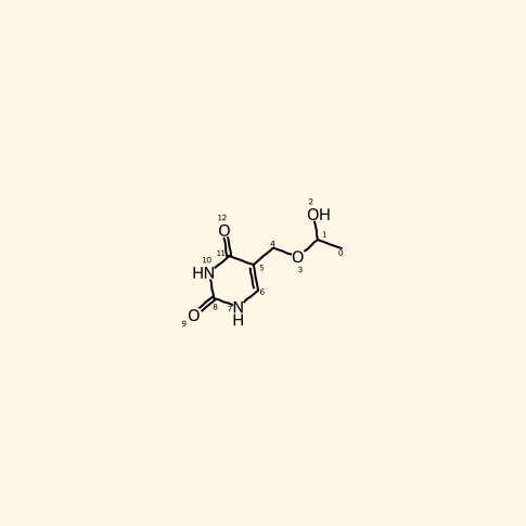 CC(O)OCc1c[nH]c(=O)[nH]c1=O